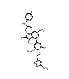 COc1cc(-c2cc(C(F)(F)F)cc3c2n(C)c(=O)n3CC(=O)Nc2ccc(F)cc2)cc(F)c1OCc1cc(C)[nH]n1